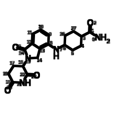 NC(=O)C1CCC(Nc2cccc3c2CN(C2CCC(=O)NC2=O)C3=O)CC1